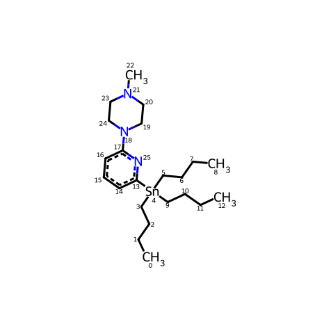 CCC[CH2][Sn]([CH2]CCC)([CH2]CCC)[c]1cccc(N2CCN(C)CC2)n1